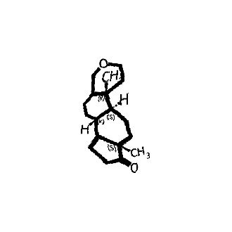 C[C@]12CCOCC1CC[C@H]1C3CCC(=O)[C@@]3(C)CC[C@@H]12